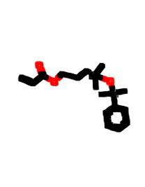 C=CC(=O)OCCC[Si](C)(C)O[Si](C)(C)c1ccccc1